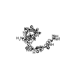 CC(C)C[C@H](NC(=O)[C@H](CCC(=O)O)NC(=O)CN)C(=O)NCC(=O)N1CCC[C@H]1C(=O)N[C@H](C(=O)NCC(=O)N[C@@H](CC(N)=O)C(=O)N1C[C@H](O)C[C@H]1C(=O)NCC(=O)N1CCC[C@H]1C(=O)N[C@@H](C)C(=O)NCC(=O)N1CCC[C@H]1C(=O)N[C@@H](C)C(=O)NCC(=O)N1CCC[C@H]1C(=O)N[C@@H](CCCNC(=N)N)C(=O)O)C(C)C